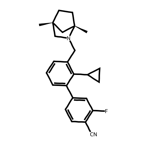 C[C@@]12CC[C@@](C)(C1)N(Cc1cccc(-c3ccc(C#N)c(F)c3)c1C1CC1)C2